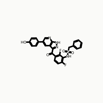 O=C(c1ccc(F)c(NS(=O)(=O)Cc2ccccc2)c1F)c1n[nH]c2ncc(-c3ccc(O)cc3)cc12